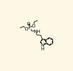 CCOP(=O)(CNCCc1c[nH]c2ccccc12)OCC